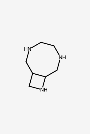 C1CNCC2NCC2CN1